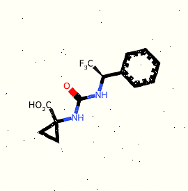 O=C(N[C@H](c1ccccc1)C(F)(F)F)NC1(C(=O)O)CC1